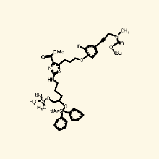 COC(=O)c1nc(NCCCC(CO[Si](C)(C)C(C)(C)C)O[Si](c2ccccc2)(c2ccccc2)C(C)(C)C)sc1CCCOc1ccc(C#CCN(C)C(=O)OC(C)(C)C)cc1F